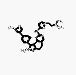 CCCn1cc(-c2ccc(-c3c4c(nn3C)CCc3cnc(Nc5ccn(CCN(C)C)n5)nc3-4)cc2)cn1